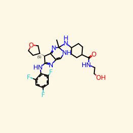 CC1(NC2CCC(C(=O)NCCO)CC2)N=C2C(=CN1)N=C(Nc1c(F)cc(F)cc1F)C2[C@@H]1CCOC1